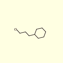 Cl[CH]CCC1CCCCC1